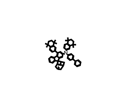 CC1(C)CCC(C)(C)c2cc(-c3cc(N(c4ccc(-c5ccccc5)cc4)c4ccc5c(c4)C(C)(C)CCC5(C)C)cc4c3-c3ccccc3C43C4CC5CC6CC3C64C5)ccc21